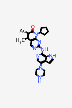 CC(=O)c1c(C)c2cnc(Nc3ncc(N4CCNCC4)c4cc[nH]c34)nc2n(C2CCCC2)c1=O